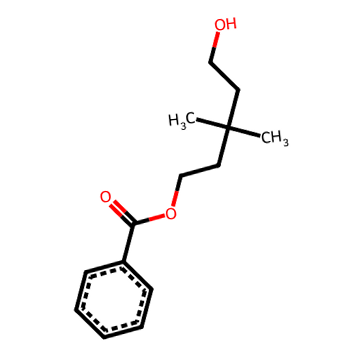 CC(C)(CCO)CCOC(=O)c1ccccc1